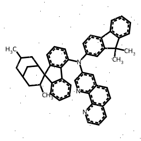 CC1CC2CC(C)C3(c4ccccc4-c4c(N(c5ccc6c(c5)C(C)(C)c5ccccc5-6)c5cnc6c(ccc7cccnc76)c5)cccc43)C(C1)C2